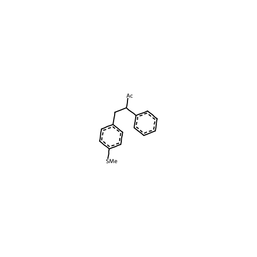 CSc1ccc(CC(C(C)=O)c2ccccc2)cc1